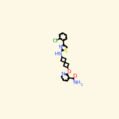 NC(=O)c1cccnc1OC1CC2(CC(Nc3nc(-c4ccccc4Cl)cs3)C2)C1